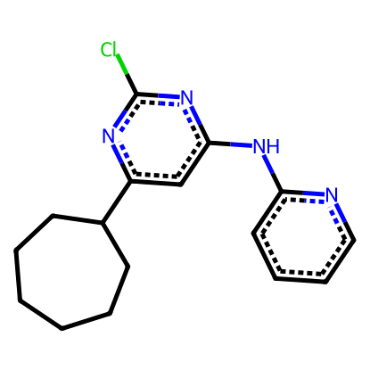 Clc1nc(Nc2ccccn2)cc(C2CCCCCC2)n1